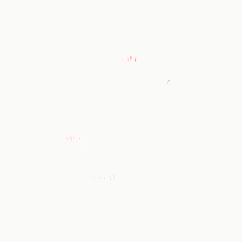 CC(=O)c1cc(CC(O)C(=O)O)ccc1O